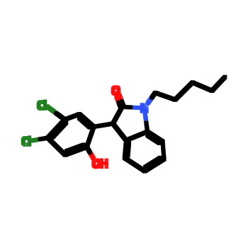 CCCCCN1C(=O)C(c2cc(Cl)c(Cl)cc2O)c2ccccc21